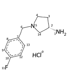 Cl.N[C@H]1CCN(Cc2ccc(F)cc2)C1